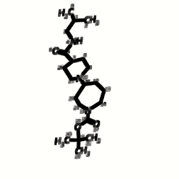 CC(C)CNC(=O)C1CCN(C2CCCN(C(=O)OC(C)(C)C)CC2)CC1